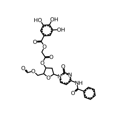 O=COCC1OC(n2ccc(NC(=O)c3ccccc3)nc2=O)CC1OC(=O)COC(=O)c1cc(O)c(O)c(O)c1